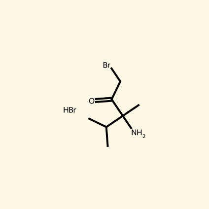 Br.CC(C)C(C)(N)C(=O)CBr